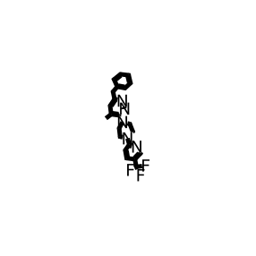 Cc1cc(Cc2ccccc2)nnc1N1CCN(c2ccc(C(F)(F)F)cn2)CC1